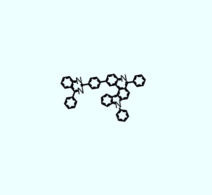 c1ccc(-c2nc(-c3ccc(-c4ccc5nc(-c6ccccc6)c6ccc7c(c8ccccc8n7-c7ccccc7)c6c5c4)cc3)nc3ccccc23)cc1